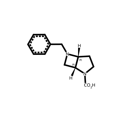 O=C(O)N1CC[C@@H]2[C@H]1CN2Cc1ccccc1